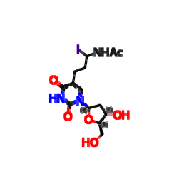 CC(=O)NC(I)CCc1cn([C@H]2C[C@H](O)[C@@H](CO)O2)c(=O)[nH]c1=O